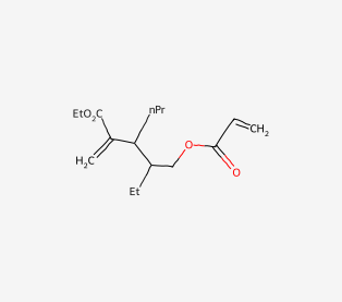 C=CC(=O)OCC(CC)C(CCC)C(=C)C(=O)OCC